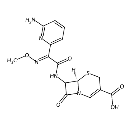 CON=C(C(=O)NC1C(=O)N2C=C(C(=O)O)CS[C@H]12)c1cccc(N)n1